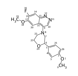 COc1ccc(C2CN(c3cnnc4cc(F)c(OC)cc34)CCO2)cc1